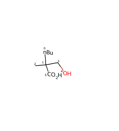 CCCCC(C)(CO)C(=O)O